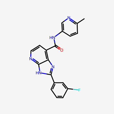 Cc1ccc(NC(=O)c2ccnc3[nH]c(-c4cccc(F)c4)nc23)cn1